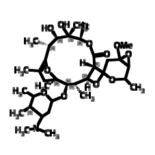 CC[C@H]1OC(=O)[C@H]2[C@@H](OC23CC2(OC)OC2C(C)O3)[C@H](C)[C@@H](OC2CC(N(C)C)[C@@H](C)C(C)O2)[C@@]2(C)CC(C)=C(O2)[C@H](C)[C@@H](O)[C@]1(C)O